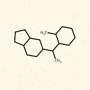 CC1CCCCC1C(C)C1CCC2CCCC2C1